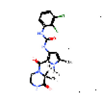 Cn1c(C(C)(C)C)cc(NC(=O)Nc2cccc(Cl)c2Cl)c1C(=O)N1CCNC(=O)C1(C)C